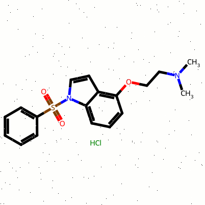 CN(C)CCOc1cccc2c1ccn2S(=O)(=O)c1ccccc1.Cl